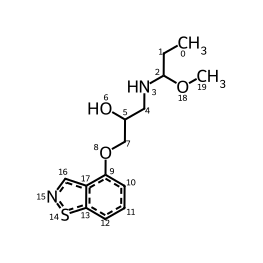 CCC(NCC(O)COc1cccc2sncc12)OC